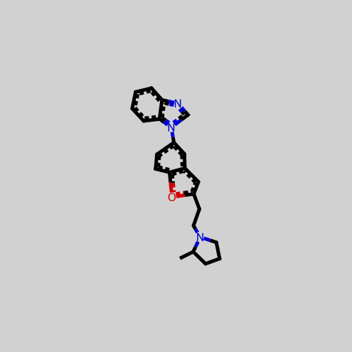 CC1CCCN1CCc1cc2cc(-n3cnc4ccccc43)ccc2o1